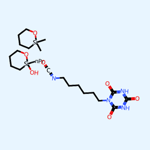 CCC[Si]1(O)CCCCO1.C[Si]1(C)CCCCO1.O=C=NCCCCCCn1c(=O)[nH]c(=O)[nH]c1=O